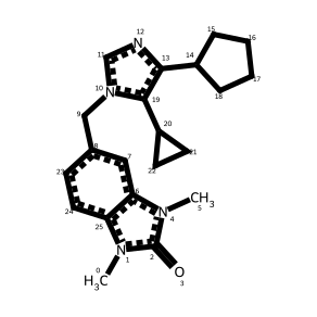 Cn1c(=O)n(C)c2cc(Cn3cnc(C4CCCC4)c3C3CC3)ccc21